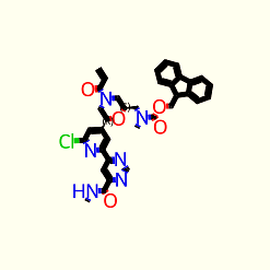 C=CC(=O)N1C[C@@H](CN(C)C(=O)OCC2c3ccccc3-c3ccccc32)O[C@H](c2cc(Cl)nc(-c3cc(C(=O)NC)ncn3)c2)C1